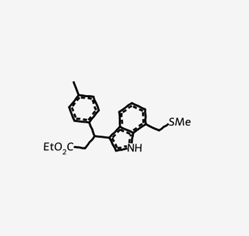 CCOC(=O)CC(c1ccc(C)cc1)c1c[nH]c2c(CSC)cccc12